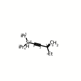 C=C(C#C[SiH](C(C)C)C(C)C)CC